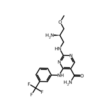 COC[C@H](N)CNc1ncc(C(N)=O)c(Nc2cccc(C(F)(F)F)c2)n1